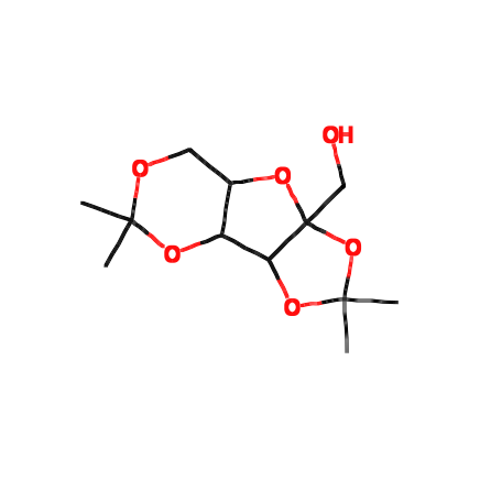 CC1(C)OCC2OC3(CO)OC(C)(C)OC3C2O1